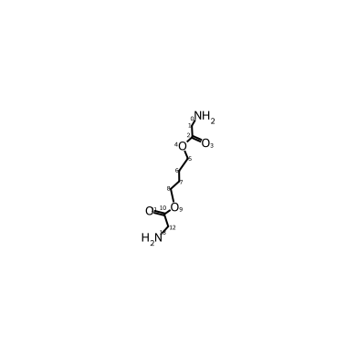 NCC(=O)OCCCCOC(=O)CN